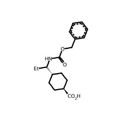 CCC(NC(=O)OCc1ccccc1)[C@H]1CC[C@H](C(=O)O)CC1